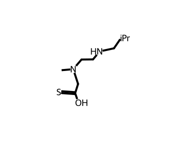 CC(C)CNCCN(C)CC(O)=S